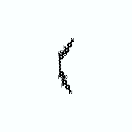 N#Cc1ccc(-c2ccc(OC(=O)c3ccc(CCCCCCCc4ccc(C(=O)Oc5ccc(-c6ccc(C#N)cc6)c(F)c5)c(F)c4)cc3F)cc2F)cc1